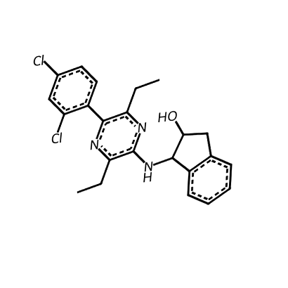 CCc1nc(-c2ccc(Cl)cc2Cl)c(CC)nc1NC1c2ccccc2CC1O